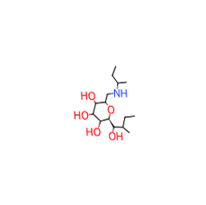 CCC(C)NCC1O[C@@H](C(O)C(C)CC)C(O)C(O)C1O